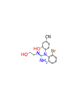 N#Cc1ccc(N(C(N)=NCCO)c2ccccc2Br)c(O)c1